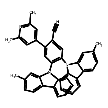 Cc1ccc2c3ccccc3n(-c3cc(C#N)c(-c4cc(C)nc(C)c4)cc3-n3c4ccccc4c4ccc(C)cc43)c2c1